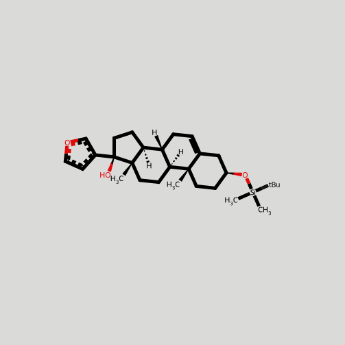 CC(C)(C)[Si](C)(C)O[C@H]1CC[C@@]2(C)C(=CC[C@@H]3[C@@H]2CC[C@@]2(C)[C@H]3CC[C@@]2(O)c2ccoc2)C1